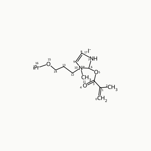 C=C(C)C(=O)OC1NC=C[N+]1(C)CCCOC(C)C.[I-]